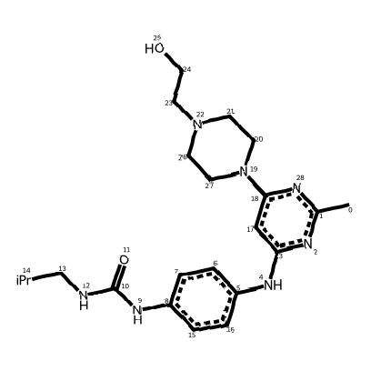 Cc1nc(Nc2ccc(NC(=O)NCC(C)C)cc2)cc(N2CCN(CCO)CC2)n1